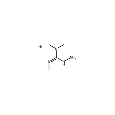 CN=C(NN)N(C)C.I